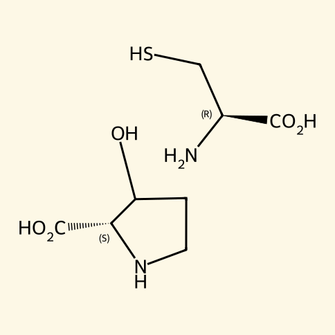 N[C@@H](CS)C(=O)O.O=C(O)[C@H]1NCCC1O